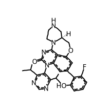 CC(C)c1ncnc(C(C)C)c1-n1c(=O)nc2c3c(cc(-c4c(O)cccc4F)cc31)OC[C@@H]1CNCCN21